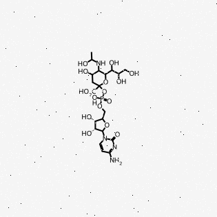 CC(O)NC1C(O)CC(OP(=O)(O)OCC2OC(n3ccc(N)nc3=O)[C@H](O)[C@@H]2O)(C(=O)O)OC1C(O)C(O)CO